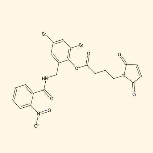 O=C(CCCN1C(=O)C=CC1=O)Oc1c(Br)cc(Br)cc1CNC(=O)c1ccccc1[N+](=O)[O-]